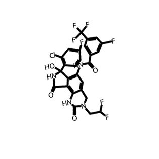 O=C(Nc1cc2c(c3c1C(O)(c1ccc(F)cc1Cl)NC3=O)NC(=O)N(CC(F)F)C2)c1cc(F)cc(C(F)(F)F)c1